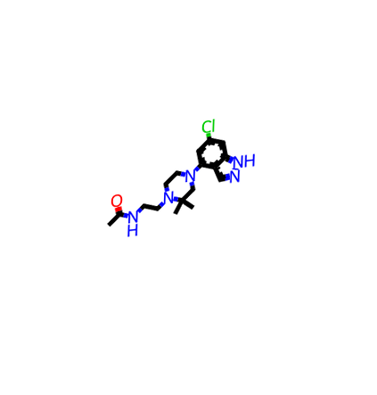 CC(=O)NCCN1CCN(c2cc(Cl)cc3[nH]ncc23)CC1(C)C